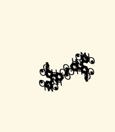 CCOc1cc2c(cc1OC)C(c1cc(OC)nnc1OC)=N[C@@H]1CC[C@@H](OC(=O)C(=O)O[C@@H]3CC[C@H]4N=C(c5cc(OC)nnc5OC)c5cc(OC)c(OCC)cc5[C@H]4C3)C[C@H]21